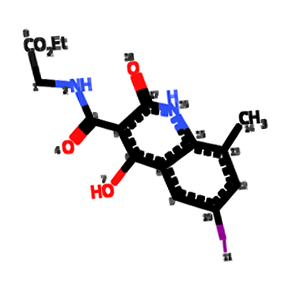 CCOC(=O)CNC(=O)c1c(O)c2cc(I)cc(C)c2[nH]c1=O